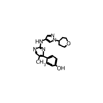 Cc1cnc(Nc2cnn(C3CCOCC3)c2)nc1-c1ccc(O)cc1